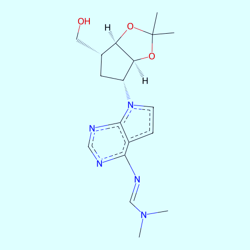 CN(C)/C=N/c1ncnc2c1ccn2[C@@H]1C[C@H](CO)[C@H]2OC(C)(C)O[C@H]21